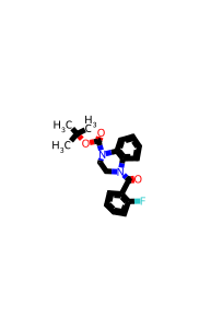 CC(C)(C)OC(=O)N1CCN(C(=O)c2ccccc2F)c2ccccc21